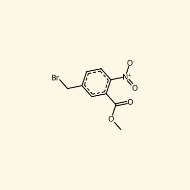 COC(=O)c1cc(CBr)ccc1[N+](=O)[O-]